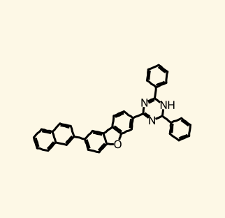 c1ccc(C2=NC(c3ccc4c(c3)oc3ccc(-c5ccc6ccccc6c5)cc34)=NC(c3ccccc3)N2)cc1